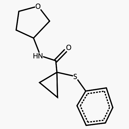 O=C(NC1CCOC1)C1(Sc2ccccc2)CC1